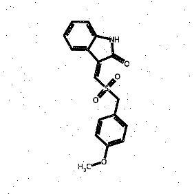 COc1ccc(CS(=O)(=O)C=C2C(=O)Nc3ccccc32)cc1